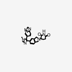 Cn1cnc(-c2ccc3c(c2)CN([C@H]2CCC(=O)NC2=O)C3)c1-c1ccc2ncnn2c1